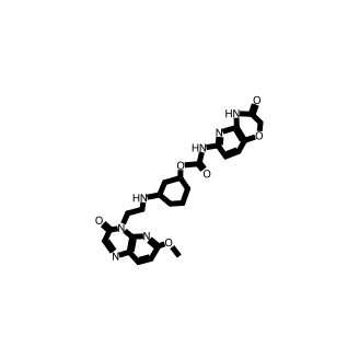 COc1ccc2ncc(=O)n(CCNC3CCCC(OC(=O)Nc4ccc5c(n4)NC(=O)CO5)C3)c2n1